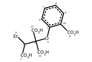 CCC(C(=O)O)C(Oc1ccccc1C(=O)O)(C(=O)O)C(=O)O